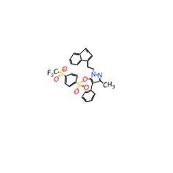 Cc1nn(CCc2cccc3ccccc23)c(OS(=O)(=O)c2ccc(S(=O)(=O)C(F)(F)F)cc2)c1-c1ccccc1